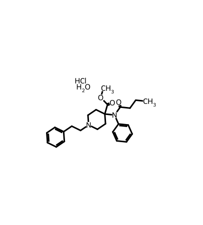 CCCC(=O)N(c1ccccc1)C1(C(=O)OC)CCN(CCc2ccccc2)CC1.Cl.O